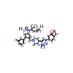 CCn1nc(-c2ccc3c(c2)OCC3)cc1C1CCN(CC2CC(N(C)[C@H](CC(C)C)C(=O)O)CC2c2cccc(F)c2)CC1